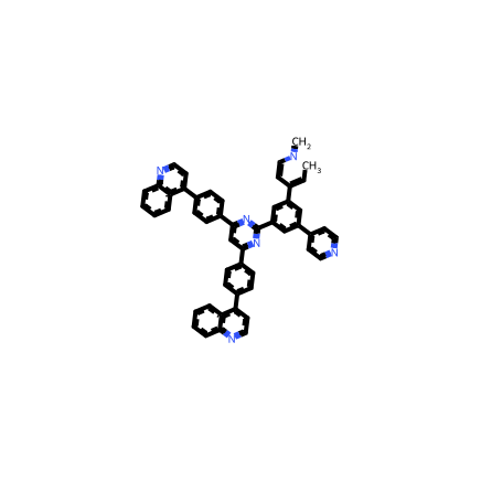 C=N/C=C\C(=C/C)c1cc(-c2ccncc2)cc(-c2nc(-c3ccc(-c4ccnc5ccccc45)cc3)cc(-c3ccc(-c4ccnc5ccccc45)cc3)n2)c1